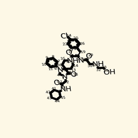 O=C(CN1CN(c2ccccc2)C2(CCN(C(=O)[C@@H](Cc3ccc(Cl)cc3)NC(=O)CNCCO)CC2)C1=O)NC1CCCCC1